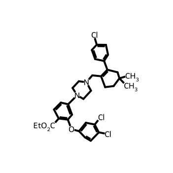 CCOC(=O)c1ccc(N2CCN(CC3=C(c4ccc(Cl)cc4)CC(C)(C)CC3)CC2)cc1Oc1ccc(Cl)c(Cl)c1